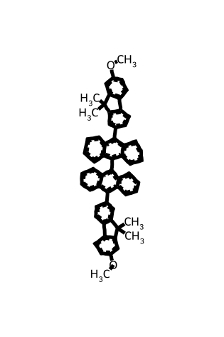 COc1ccc2c(c1)C(C)(C)c1cc(-c3c4ccccc4c(-c4c5ccccc5c(-c5ccc6c(c5)C(C)(C)c5cc(OC)ccc5-6)c5ccccc45)c4ccccc34)ccc1-2